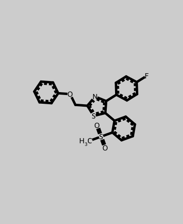 CS(=O)(=O)c1ccccc1-c1sc(COc2ccccc2)nc1-c1ccc(F)cc1